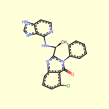 C[C@H](Nc1nccc2[nH]cnc12)c1nc2cccc(Cl)c2c(=O)n1-c1ccccc1